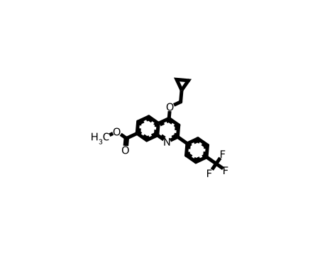 COC(=O)c1ccc2c(OCC3CC3)cc(-c3ccc(C(F)(F)F)cc3)nc2c1